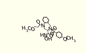 COCCC(=O)N1CC(C(=O)NO)N(S(=O)(=O)c2ccc(OC)cc2)Cc2ccccc21